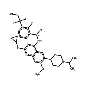 COc1nc2nc(OC3CC3)nc(N[C@H](C)c3cccc(C(F)(F)CO)c3F)c2cc1C1CCN(C(C)C)CC1